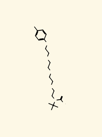 Cc1ccc(OCCOCCOCCOCCN(C(=O)O)C(C)(C)C)cc1